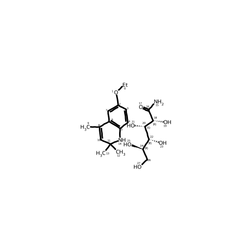 CCOc1ccc2c(c1)C(C)=CC(C)(C)N2.NC(=O)[C@H](O)[C@@H](O)[C@H](O)[C@H](O)CO